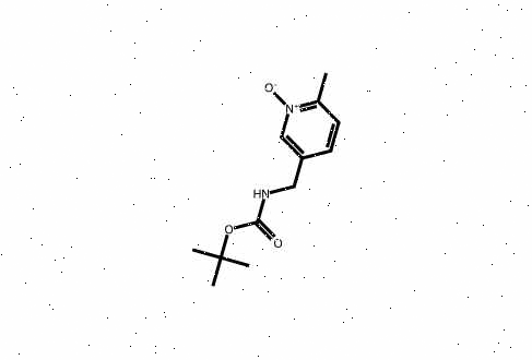 Cc1ccc(CNC(=O)OC(C)(C)C)c[n+]1[O-]